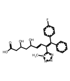 Cn1nnnc1C(C=CC(O)CC(O)CC(=O)O)=C(c1ccccc1)c1ccc(F)cc1